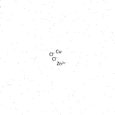 [Cl-].[Cl-].[Cu].[Zn+2]